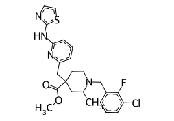 COC(=O)C1(Cc2cccc(Nc3nccs3)n2)CCN(Cc2cccc(Cl)c2F)C(C)C1